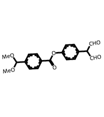 COC(OC)c1ccc(C(=O)Oc2ccc(C(C=O)C=O)cc2)cc1